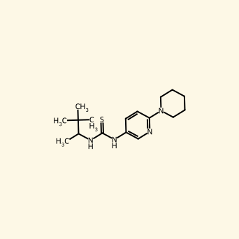 CC(NC(=S)Nc1ccc(N2CCCCC2)nc1)C(C)(C)C